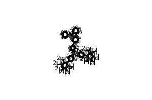 [2H]c1c([2H])c([2H])c(-c2ccc(N(c3ccc(-c4c([2H])c([2H])c([2H])c([2H])c4[2H])cc3)c3ccc(-c4ccc5c6ccccc6n(-c6ccccc6)c5c4)s3)cc2)c([2H])c1[2H]